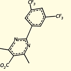 Cc1nc(-c2cc(C(F)(F)F)cc(C(F)(F)F)c2)nc(C)c1C(=O)O